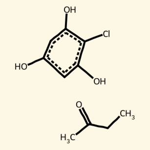 CCC(C)=O.Oc1cc(O)c(Cl)c(O)c1